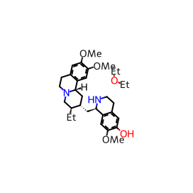 CCOCC.CC[C@H]1CN2CCc3cc(OC)c(OC)cc3[C@@H]2C[C@@H]1C[C@H]1NCCc2cc(O)c(OC)cc21